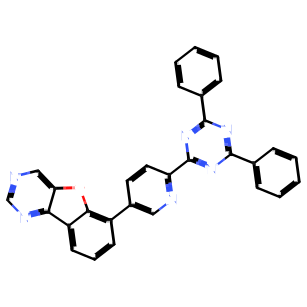 c1ccc(-c2nc(-c3ccccc3)nc(-c3ccc(-c4cccc5c4oc4cncnc45)cn3)n2)cc1